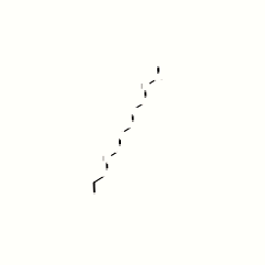 BBBBBBBBBBCC(=O)O